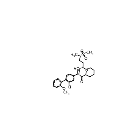 CN(CCC(O)N1CCCCC1C(=O)Nc1ccc(-c2ccccc2OC(F)(F)F)c(Cl)c1)S(C)(=O)=O